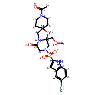 COCC12CN(S(=O)(=O)c3cc4cc(Cl)ccc4[nH]3)CC(=O)N1CC1(CCN(C(C)=O)CC1)O2